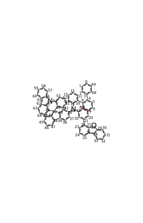 c1ccc(-c2ccccc2-c2ccccc2N(c2cccc(-c3cccc4c3oc3ccccc34)c2)c2ccc3c(c2)C2(c4ccccc4-3)c3ccccc3-n3c4ccccc4c4cccc2c43)cc1